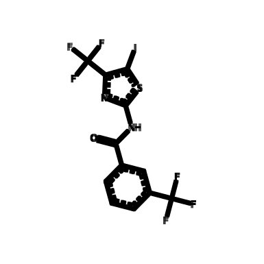 O=C(Nc1nc(C(F)(F)F)c(I)s1)c1cccc(C(F)(F)F)c1